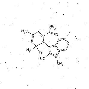 CCC1(C)C=C(C)C=C(C(N)=O)C1c1c(C)n(C)c2ccccc12